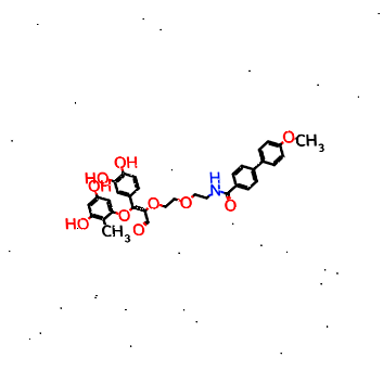 COc1ccc(-c2ccc(C(=O)NCCOCCO/C(C=O)=C(/Oc3cc(O)cc(O)c3C)c3ccc(O)c(O)c3)cc2)cc1